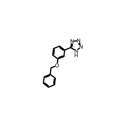 [c]1c(OCc2ccccc2)cccc1-c1nnn[nH]1